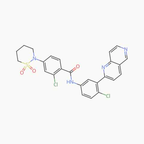 O=C(Nc1ccc(Cl)c(-c2ccc3cnccc3n2)c1)c1ccc(N2CCCCS2(=O)=O)cc1Cl